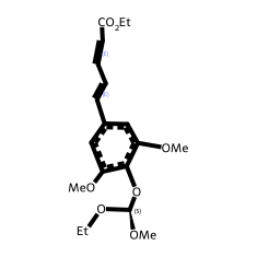 CCOC(=O)/C=C/C=C/c1cc(OC)c(O[C@@H](OC)OCC)c(OC)c1